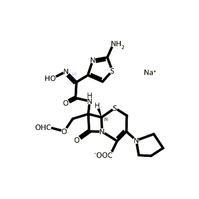 Nc1nc(/C(=N/O)C(=O)NC2(COC=O)C(=O)N3C(C(=O)[O-])=C(N4CCCC4)CS[C@H]32)cs1.[Na+]